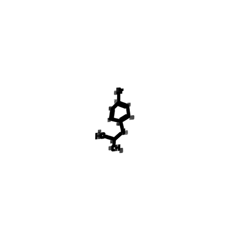 CC(O)Sc1ccc(Br)cc1